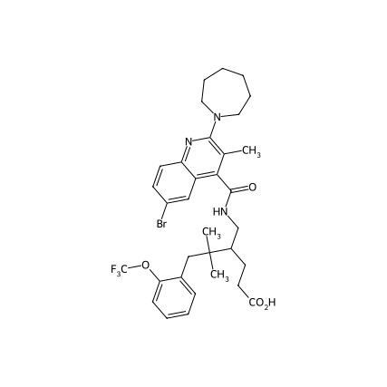 Cc1c(N2CCCCCC2)nc2ccc(Br)cc2c1C(=O)NCC(CCC(=O)O)C(C)(C)Cc1ccccc1OC(F)(F)F